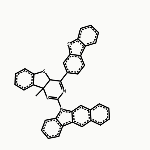 CC12N=C(n3c4ccccc4c4cc5ccccc5cc43)N=C(c3ccc4c(c3)sc3ccccc34)C1Sc1ccccc12